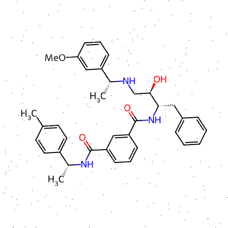 COc1cccc([C@@H](C)NC[C@@H](O)[C@H](Cc2ccccc2)NC(=O)c2cccc(C(=O)N[C@H](C)c3ccc(C)cc3)c2)c1